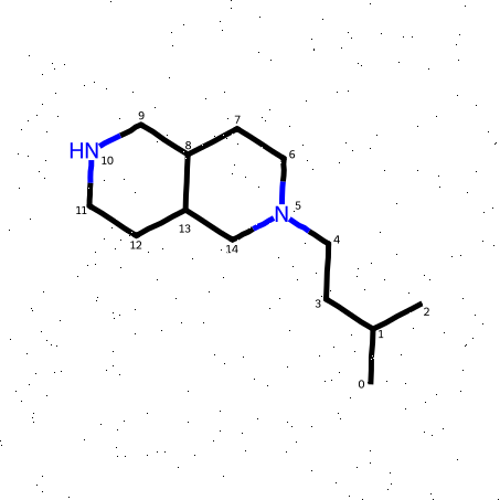 CC(C)CCN1CCC2CNCCC2C1